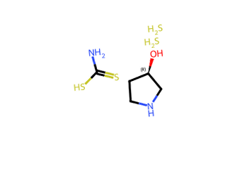 NC(=S)S.O[C@@H]1CCNC1.S.S